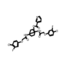 O=C(COc1ccc(Cl)c(F)c1)NC12CCC(NC(=O)COc3ccc(Cl)c(F)c3)(CC1)C(OC(=O)c1cccnc1)C2